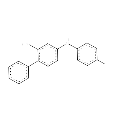 CCCc1cc(Nc2ccc(C)cc2)ccc1-c1ccccc1